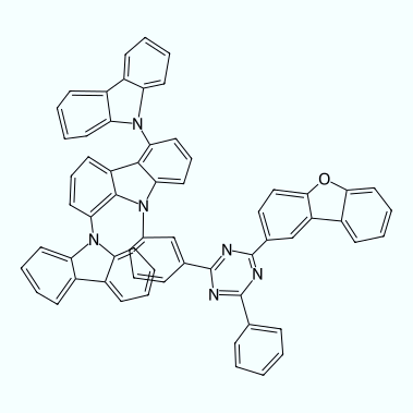 c1ccc(-c2nc(-c3cccc(-n4c5cccc(-n6c7ccccc7c7ccccc76)c5c5cccc(-n6c7ccccc7c7ccccc76)c54)c3)nc(-c3ccc4oc5ccccc5c4c3)n2)cc1